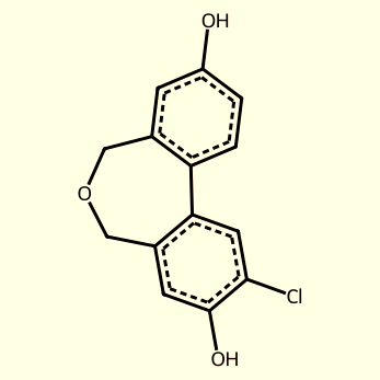 Oc1ccc2c(c1)COCc1cc(O)c(Cl)cc1-2